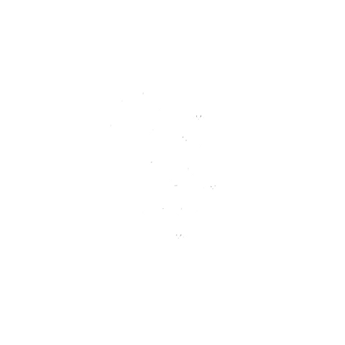 CO/N=C(\c1ccc(F)cc1)c1cccc(C(=O)OC)c1C(=O)OC